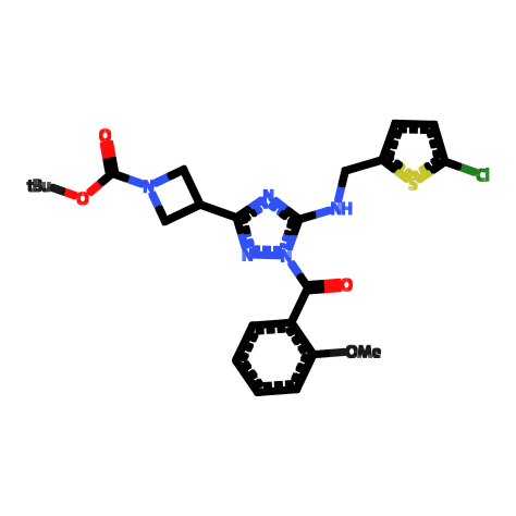 COc1ccccc1C(=O)n1nc(C2CN(C(=O)OC(C)(C)C)C2)nc1NCc1ccc(Cl)s1